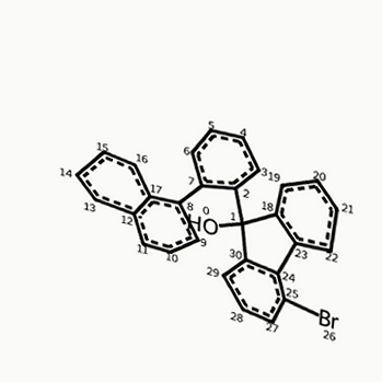 OC1(c2ccccc2-c2cccc3ccccc23)c2ccccc2-c2c(Br)cccc21